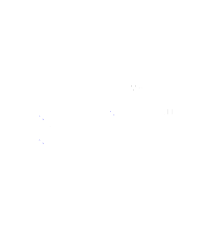 COc1cc(C)ccc1NC(=O)c1ccc(C2=NCCN2C)cc1